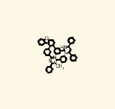 CN1C(c2ccccc2)=NC(C2=CC(c3c(-c4cccc(C5=NC(c6ccccc6)=CC(c6ccccc6)N5)c4)ccc4oc5ccccc5c34)CC=C2)=NC1c1ccccc1